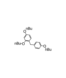 CCCCOc1ccc(Cc2ccc(OCCCC)cc2OCCCC)cc1